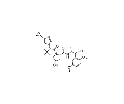 COc1ccc(OC)c(C(O)C(C)NC(=O)[C@H]2C[C@H](O)CN2C(=O)[C@H](n2cc(C3CC3)nn2)C(C)(C)C)c1